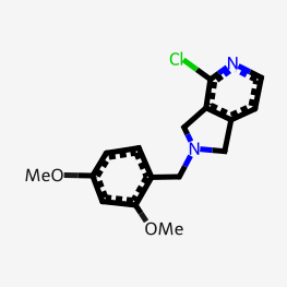 COc1ccc(CN2Cc3ccnc(Cl)c3C2)c(OC)c1